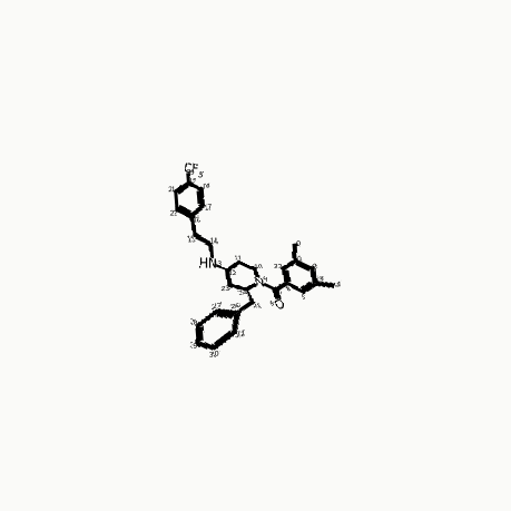 Cc1cc(C)cc(C(=O)N2CC[C@H](NCCc3ccc(C(F)(F)F)cc3)C[C@@H]2Cc2ccccc2)c1